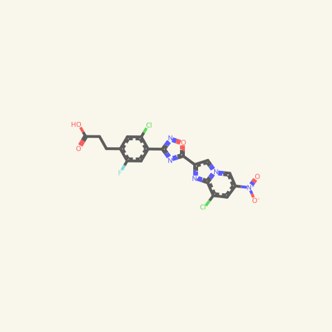 O=C(O)CCc1cc(Cl)c(-c2noc(-c3cn4cc([N+](=O)[O-])cc(Cl)c4n3)n2)cc1F